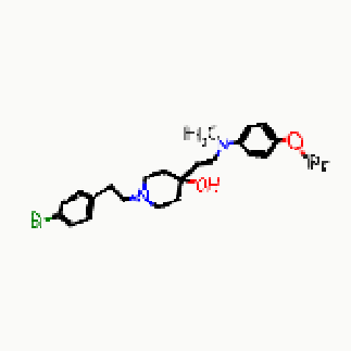 CC(C)Oc1ccc(N(C)CCC2(O)CCN(CCc3ccc(Br)cc3)CC2)cc1